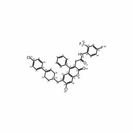 O=C(Cc1c(-c2ccccc2)c2cc(CN3CC=C(c4ccc(Cl)cc4)CC3)c(Cl)cc2oc1=O)Nc1ccc(F)cc1C(F)(F)F